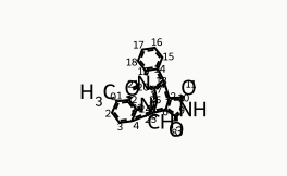 Cc1ccc2c3c4c(=O)[nH]c(=O)c4c4c5ccccc5n5oc1c2n(C)c3c45